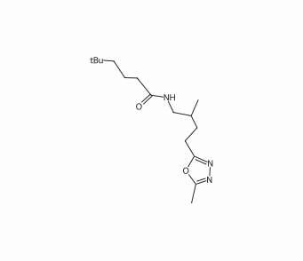 Cc1nnc(CCC(C)CNC(=O)CCCC(C)(C)C)o1